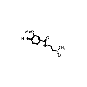 CCN(C)CCNC(=O)c1ccc(N)c(OC)c1